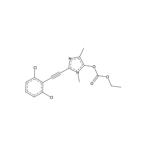 CCOC(=O)Oc1c(C)nc(C#Cc2c(Cl)cccc2Cl)n1C